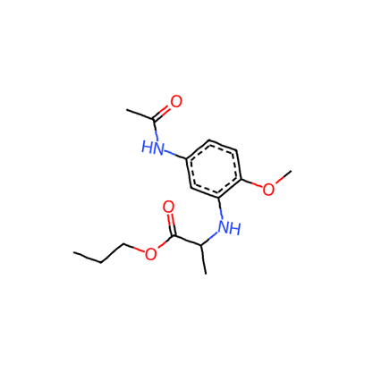 CCCOC(=O)C(C)Nc1cc(NC(C)=O)ccc1OC